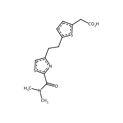 CN(C)C(=O)c1nc(CCc2ccc(CC(=O)O)s2)cs1